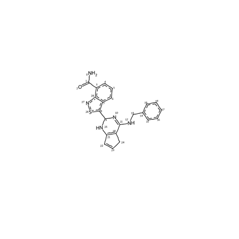 NC(=O)c1cccc2c(C3N=C(NCc4ccccc4)C4=C(C=CC4)N3)snc12